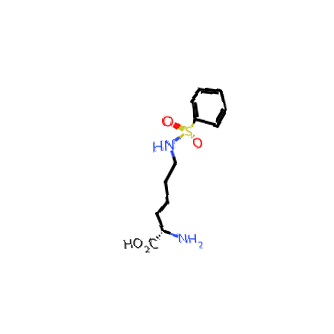 N[C@@H](CCCCNS(=O)(=O)c1ccccc1)C(=O)O